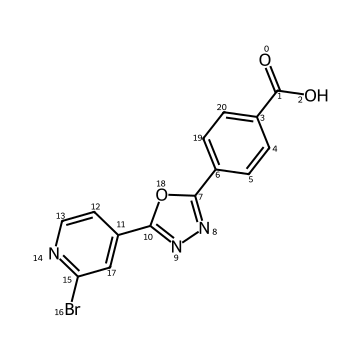 O=C(O)c1ccc(-c2nnc(-c3ccnc(Br)c3)o2)cc1